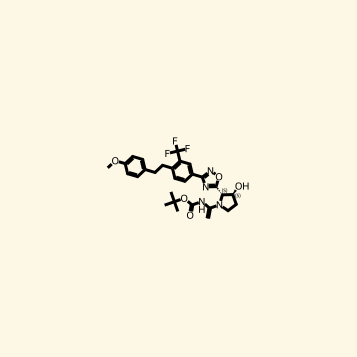 C=C(NC(=O)OC(C)(C)C)N1CC[C@H](O)[C@H]1c1nc(-c2ccc(CCc3ccc(OC)cc3)c(C(F)(F)F)c2)no1